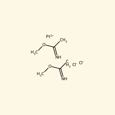 COC(C)=N.COC(C)=N.[Cl-].[Cl-].[Pt+2]